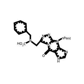 CCCCCn1c2nc[nH]c2c(=O)n2c(CN(Cc3ccccc3)C(=O)O)nnc12